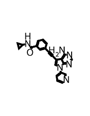 Nc1ncnc2c1c(C#Cc1cccc(C(=O)NC3CC3)c1)cn2-c1cccnc1